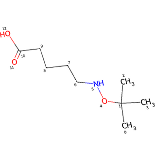 CC(C)(C)ONCCCCC(=O)O